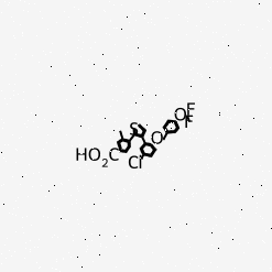 Cc1cc(C(=O)O)ccc1-c1sccc1-c1cc(Cl)ccc1OCc1ccc(OC(F)F)cc1